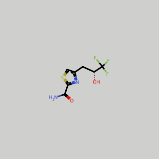 NC(=O)c1nc(C[C@@H](O)C(F)(F)F)cs1